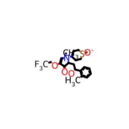 Cc1ccccc1C(=O)CC1C(=O)C(OCC(F)(F)F)=C[N+]1(C)C1CC[S+]([O-])CC1